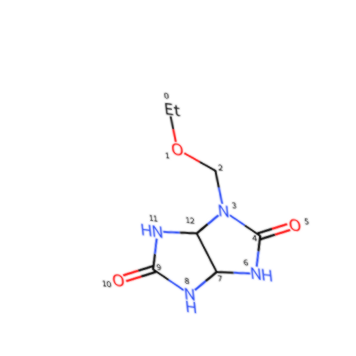 CCOCN1C(=O)NC2NC(=O)NC21